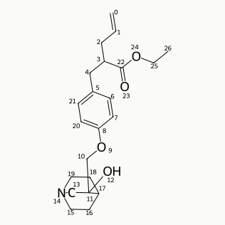 C=CCC(Cc1ccc(OCC2(O)CN3CCC2CC3)cc1)C(=O)OCC